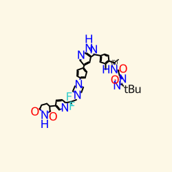 Cc1cc(-c2n[nH]c3ncc(-c4ccc(N5CCN(CC(F)(F)c6ccc(C7CCC(=O)NC7=O)cn6)CC5)cc4)cc23)ccc1[C@@H](C)NC(=O)c1nc(C(C)(C)C)no1